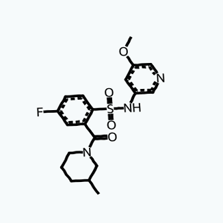 COc1cncc(NS(=O)(=O)c2ccc(F)cc2C(=O)N2CCCC(C)C2)c1